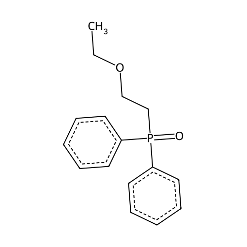 CCOCCP(=O)(c1ccccc1)c1ccccc1